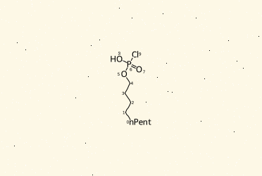 CCCCCCCCCOP(=O)(O)Cl